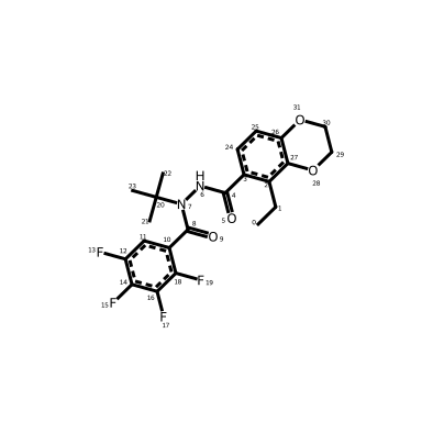 CCc1c(C(=O)NN(C(=O)c2cc(F)c(F)c(F)c2F)C(C)(C)C)ccc2c1OCCO2